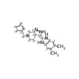 Cc1cc2c(cc1C)NC(C1NN=C3CN(Cc4cccs4)CCC31)N2